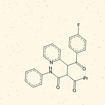 CC(C)C(=O)C(C(=O)Nc1ccccc1)C(C(=O)c1ccc(F)cc1)c1ccccn1